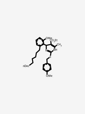 CCCCCCCCCCCCCCCc1cccc(OC)c1C1N=C(SCc2ccc(OC)cc2)NC(C)=C1C(=O)OCC